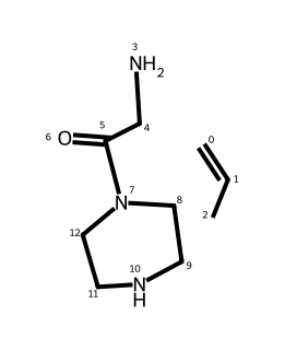 C=CC.NCC(=O)N1CCNCC1